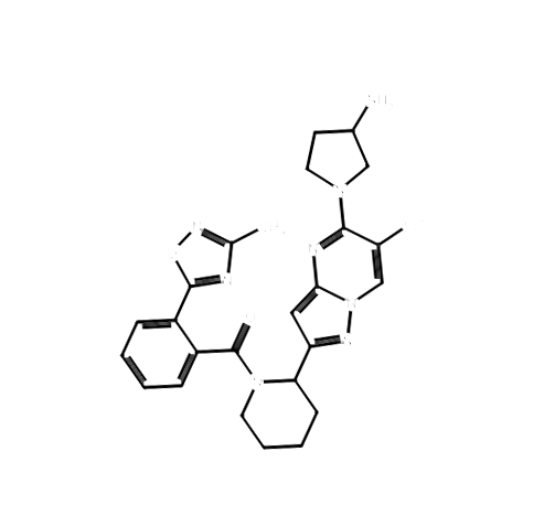 Cc1noc(-c2ccccc2C(=O)N2CCCCC2c2cc3nc(N4CCC(N)C4)c(C)cn3n2)n1